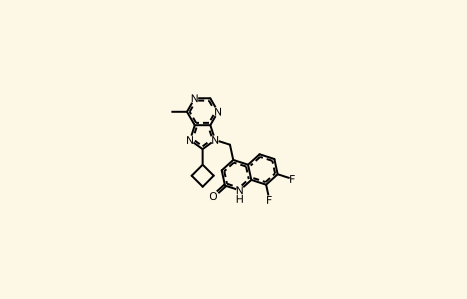 Cc1ncnc2c1nc(C1CCC1)n2Cc1cc(=O)[nH]c2c(F)c(F)ccc12